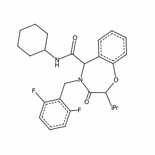 CC(C)C1Oc2ccccc2C(C(=O)NC2CCCCC2)N(Cc2c(F)cccc2F)C1=O